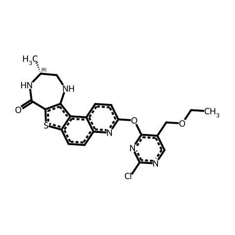 CCOCc1cnc(Cl)nc1Oc1ccc2c(ccc3sc4c(c32)NC[C@@H](C)NC4=O)n1